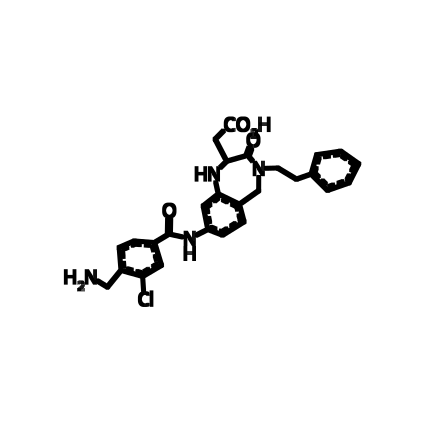 NCc1ccc(C(=O)Nc2ccc3c(c2)NC(CC(=O)O)C(=O)N(CCc2ccccc2)C3)cc1Cl